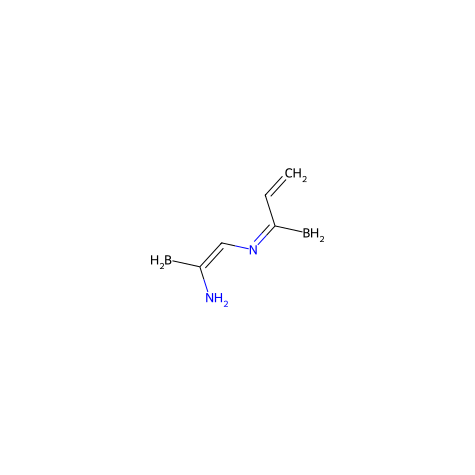 B/C(N)=C/N=C(/B)C=C